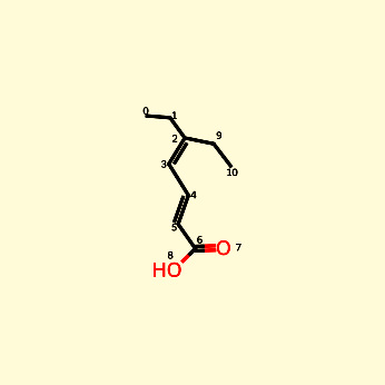 CCC(=CC=CC(=O)O)CC